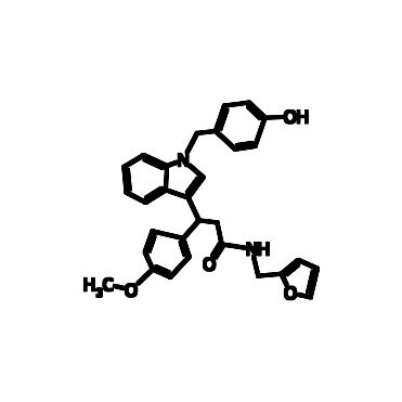 COc1ccc(C(CC(=O)NCc2ccco2)c2cn(Cc3ccc(O)cc3)c3ccccc23)cc1